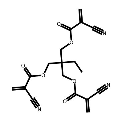 C=C(C#N)C(=O)OCC(CC)(COC(=O)C(=C)C#N)COC(=O)C(=C)C#N